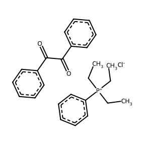 CC[P+](CC)(CC)c1ccccc1.O=C(C(=O)c1ccccc1)c1ccccc1.[Cl-]